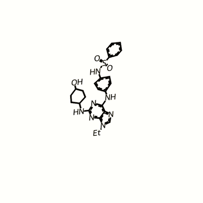 CCn1cnc2c(Nc3ccc(NS(=O)(=O)c4ccccc4)cc3)nc(NC3CCC(O)CC3)nc21